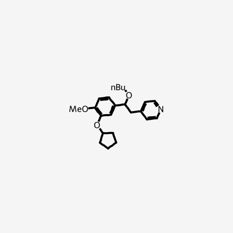 CCCCOC(Cc1ccncc1)c1ccc(OC)c(OC2CCCC2)c1